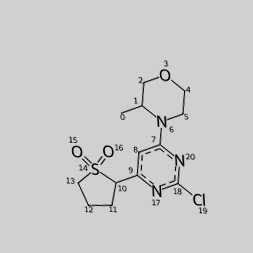 CC1COCCN1c1cc(C2CCCS2(=O)=O)nc(Cl)n1